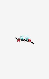 C=CCCC1CCC(c2ccc(-c3ccc(-c4ccc(OCCCCCC)c(F)c4F)cc3)c(F)c2F)CO1